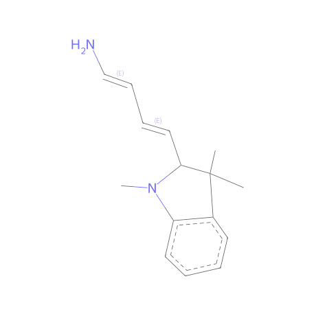 CN1c2ccccc2C(C)(C)C1/C=C/C=C/N